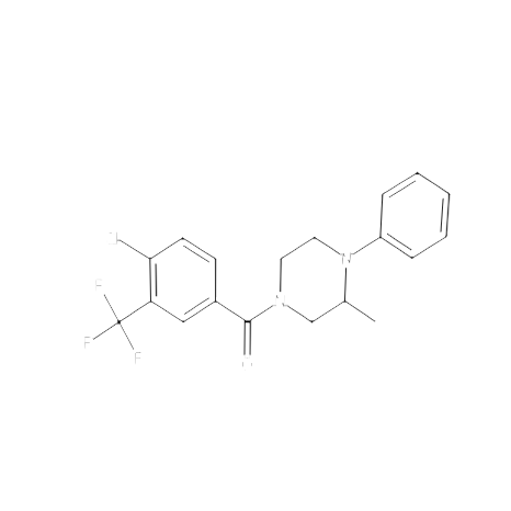 CC1CN(C(=O)c2ccc(Cl)c(C(F)(F)F)c2)CCN1c1ccccc1